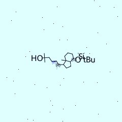 C[C@H](/C=C/CC(C)(C)O)C1CCC2[C@@H](O[Si](C)(C)C(C)(C)C)CCCC12C